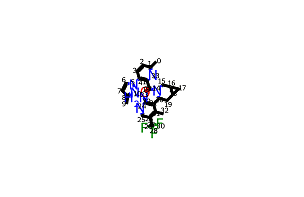 Cc1ccc(-n2ccc(C)n2)c(C(=O)N2CC3CC3CC2c2c(N)ncc(C(F)(F)F)c2C)n1